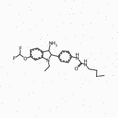 CCCCNC(=O)Nc1ccc(C2C(N)c3ccc(OC(F)F)cc3N2CC)cc1